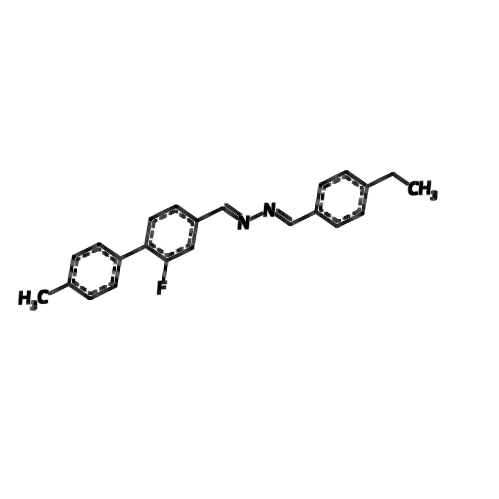 CCc1ccc(C=NN=Cc2ccc(-c3ccc(C)cc3)c(F)c2)cc1